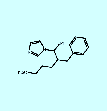 CCCCCCCCCCCCCC(Cc1ccccc1)C(C(C)C)n1ccnc1